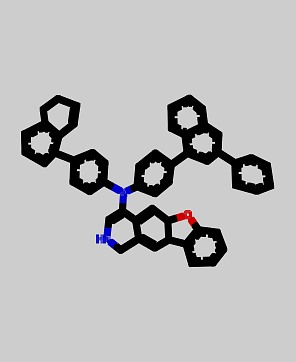 C1=Cc2c(cccc2-c2ccc(N(C3=CNCC4=CC5c6ccccc6OC5C=C43)c3ccc(-c4cc(-c5ccccc5)cc5ccccc45)cc3)cc2)CC1